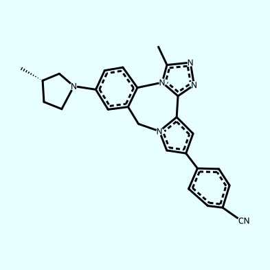 Cc1nnc2n1-c1ccc(N3CC[C@H](C)C3)cc1Cn1cc(-c3ccc(C#N)cc3)cc1-2